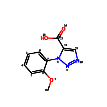 COc1ccccc1-n1nncc1C(=O)O